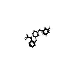 CC(=O)C(c1ccccc1C)N1CCN(Cc2cccc(C)c2)CC1